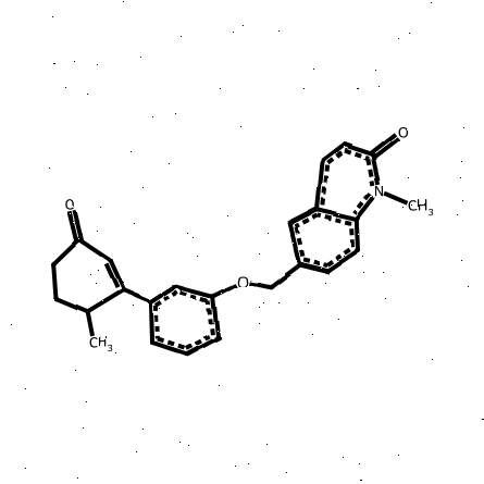 CC1CCC(=O)C=C1c1cccc(OCc2ccc3c(ccc(=O)n3C)c2)c1